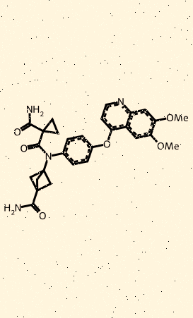 COc1cc2nccc(Oc3ccc(N(C(=O)C4(C(N)=O)CC4)C45CC(C(N)=O)(C4)C5)cc3)c2cc1OC